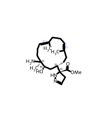 COC(=O)[C@@]1([C@H]2CC/C(C)=C/CC/C(C)=C/CC[C@](C)(N)[C@H](O)C2)CC=NN1